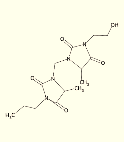 CCCN1C(=O)C(C)N(CN2C(=O)N(CCO)C(=O)C2C)C1=O